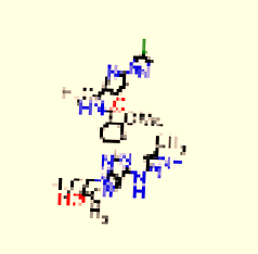 CO[C@H]1C[C@H](c2nc(Nc3cc(C)[nH]n3)c3cnn(CC(C)(C)O)c3n2)CC[C@@H]1C(=O)N[C@@H](C)c1ccc(-n2cc(F)cn2)nc1